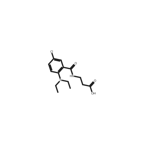 CCN(CC)c1ccc(Cl)cc1C(=O)NCCC(=O)O